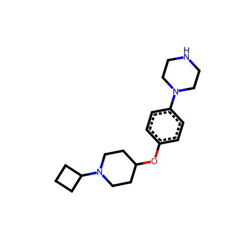 c1cc(N2CCNCC2)ccc1OC1CCN(C2CCC2)CC1